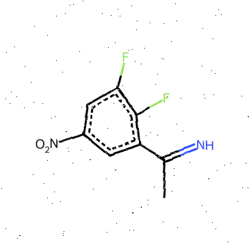 CC(=N)c1cc([N+](=O)[O-])cc(F)c1F